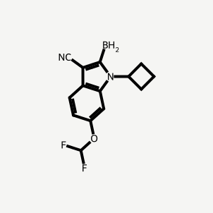 Bc1c(C#N)c2ccc(OC(F)F)cc2n1C1CCC1